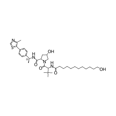 Cc1ncsc1-c1ccc([C@H](C)NC(=O)C2CC(O)CN2C(=O)C(NC(=O)CCCCCCCCCCCO)C(C)(C)C)cc1